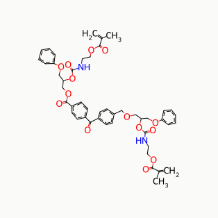 C=C(C)C(=O)OCCNC(=O)OC(COCc1ccc(C(=O)c2ccc(C(=O)OCC(COc3ccccc3)OC(=O)NCCOC(=O)C(=C)C)cc2)cc1)COc1ccccc1